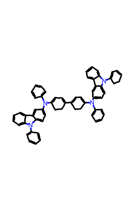 C1=CCCC(n2c3ccccc3c3cc(N(C4=CC=C(C5=CC=C(N(c6ccccc6)c6ccc7c(c6)c6ccccc6n7-c6ccccc6)CC5)CC4)c4ccccc4)ccc32)=C1